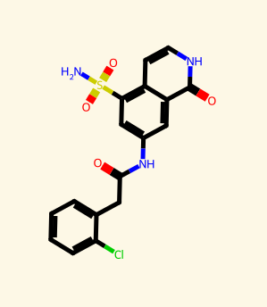 NS(=O)(=O)c1cc(NC(=O)Cc2ccccc2Cl)cc2c(=O)[nH]ccc12